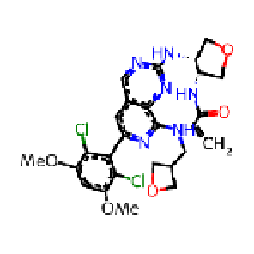 C=CC(=O)N[C@H]1COC[C@H]1Nc1ncc2cc(-c3c(Cl)c(OC)cc(OC)c3Cl)nc(NCC3COC3)c2n1